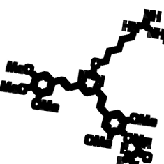 COc1cc(C=Cc2cc(C=Cc3cc(OC)c(OC)c(OC)c3)nc(OCCCCCNC(=N)N)n2)cc(OC)c1OC.O=C(O)C(F)(F)F